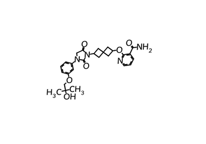 CC(C)(O)COc1cccc(N2CC(=O)N(C3CC4(CC(Oc5ncccc5C(N)=O)C4)C3)C2=O)c1